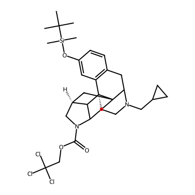 CC(C)(C)[Si](C)(C)Oc1ccc2c(c1)[C@@]13CCN(CC4CC4)C(C2)C12CCC1C3[C@@H](CN1C(=O)OCC(Cl)(Cl)Cl)C2